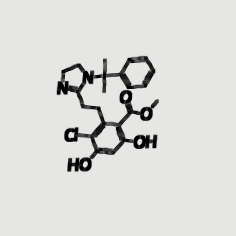 COC(=O)c1c(O)cc(O)c(Cl)c1CCC1=NCCN1C(C)(C)c1ccccc1